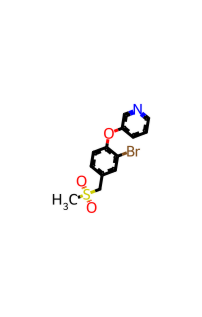 CS(=O)(=O)Cc1ccc(Oc2cccnc2)c(Br)c1